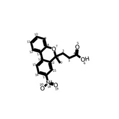 CC1(CCC(=O)O)Oc2ccccc2-c2ccc([N+](=O)[O-])cc21